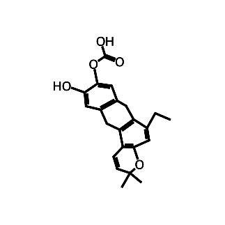 CCc1cc2c(c3c1Cc1cc(OC(=O)O)c(O)cc1C3)C=CC(C)(C)O2